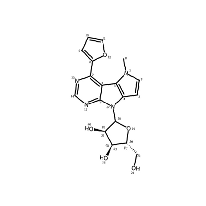 Cn1ccc2c1c1c(-c3ccco3)ncnc1n2C1O[C@H](CO)[C@@H](O)[C@H]1O